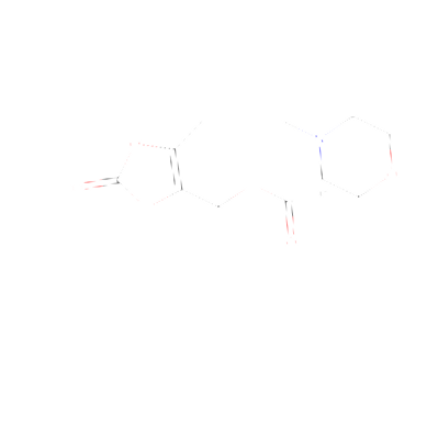 Cc1oc(=O)oc1COC(=O)[C@H]1COCCN1C